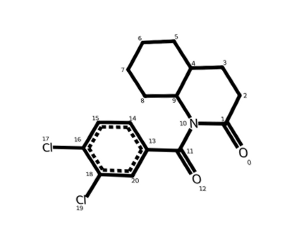 O=C1CCC2CCCCC2N1C(=O)c1ccc(Cl)c(Cl)c1